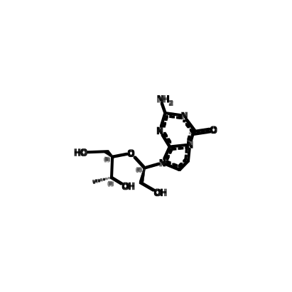 C[C@@H](O)[C@@H](CO)O[C@H](CO)n1ccn2c(=O)nc(N)nc12